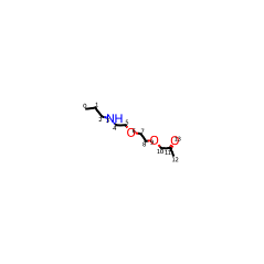 CCCNCCOCCOCC(C)=O